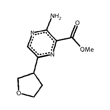 COC(=O)c1nc(C2CCOC2)cnc1N